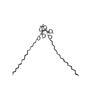 CCCCCCCCCCCCCCCCCCOC[C@@H](OC)[C@H]1OC(C)(C)O[C@@H]1[C@@H](COCCCCCCCCCCCCCCCCCC)OC